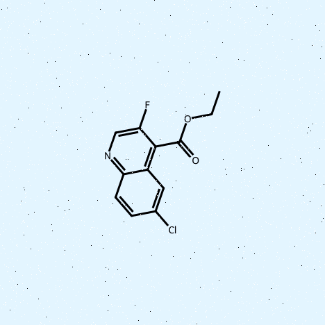 CCOC(=O)c1c(F)cnc2ccc(Cl)cc12